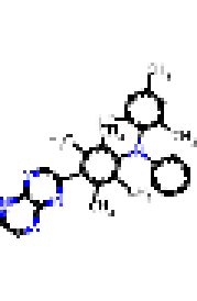 Cc1cc(C)c(N(c2ccccc2)c2c(C)c(C)c(-c3cnc4nccnc4n3)c(C)c2C)c(C)c1